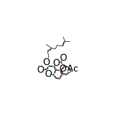 CC(=O)Oc1cccc2oc(=O)c(OCC=C(C)CCC=C(C)C)c(OC(=O)c3ccccc3)c12